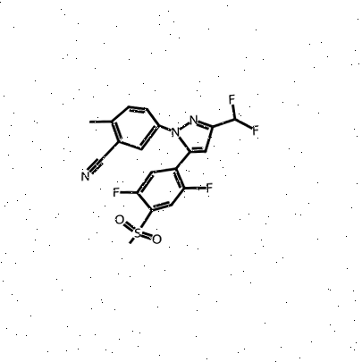 Cc1ccc(-n2nc(C(F)F)cc2-c2cc(F)c(S(C)(=O)=O)cc2F)cc1C#N